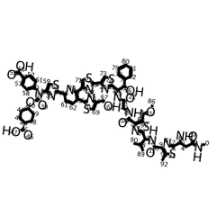 CNC(=O)C[C@H](N)c1nc(C(=O)NC(c2nc(C(=O)NCC(=O)N[C@H](c3nc(-c4nc(-c5nc(-c6nc(N(C(=O)O[C@H]7CC[C@H](C(=O)O)CC7)c7ccc(C(=O)O)cc7)cs6)ccc5-c5nc(C=O)cs5)cs4)cs3)[C@@H](O)c3ccccc3)c(COC)s2)C(C)C)c(C)s1